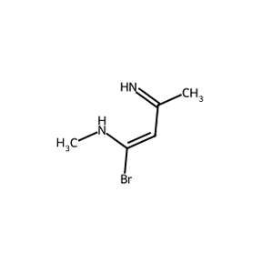 CN/C(Br)=C\C(C)=N